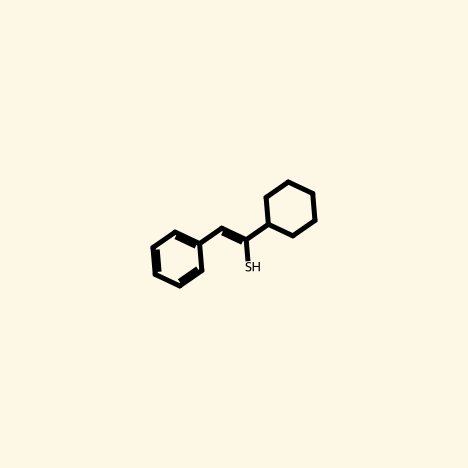 SC(=Cc1ccccc1)C1CCCCC1